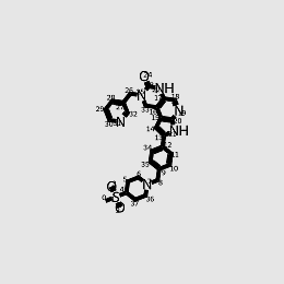 CS(=O)(=O)C1CCN(Cc2ccc(-c3cc4c5c(cnc4[nH]3)NC(=O)N(Cc3cccnc3)C5)cc2)CC1